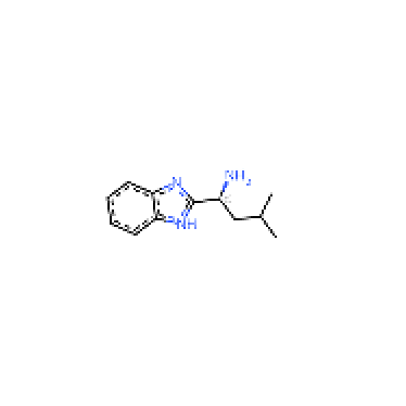 CC(C)C[C@H](N)c1nc2ccccc2[nH]1